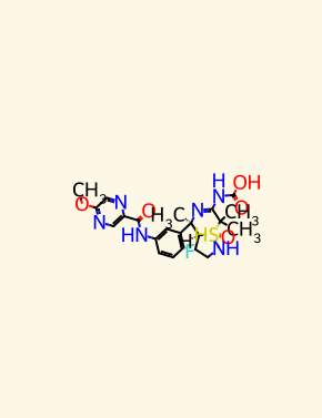 COc1cnc(C(=O)Nc2ccc(F)c([C@@]3(C)N=C(NC(=O)O)C(C)(C)[SH]4(=O)NCC[C@@H]34)c2)cn1